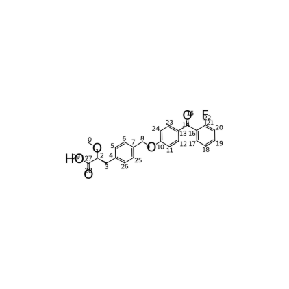 CO[C@@H](Cc1ccc(COc2ccc(C(=O)c3ccccc3F)cc2)cc1)C(=O)O